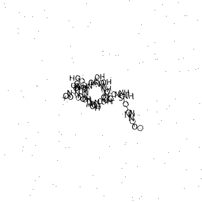 C[C@@H](O)[C@@H]1NC(=O)[C@@H](N(CC2CCN(C(=N)SC(=N)c3ccc(-c4cnc(N5CCC(OC6CCCCC6)CC5)nc4)cc3)CC2)C(=O)OC(C)(C)C)C[C@@H](O)CNC(=O)[C@@H]2[C@@H](O)[C@@H](C)CN2C(=O)[C@H]([C@H](O)CC(=O)NCCN(C)C(=O)OC(C)(C)C)NC(=O)[C@H]([C@H](O)Cc2ccc(O)c(OS(=O)(=O)O)c2)NC(=O)[C@@H]2C[C@@H](O)CN2C1=O